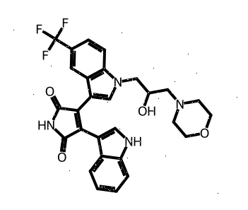 O=C1NC(=O)C(c2cn(CC(O)CN3CCOCC3)c3ccc(C(F)(F)F)cc23)=C1c1c[nH]c2ccccc12